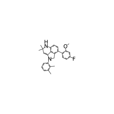 COc1cc(F)ccc1-c1ccc2c3c1CN(c1cccc(C)c1C)C3=CC(C)(C)N2